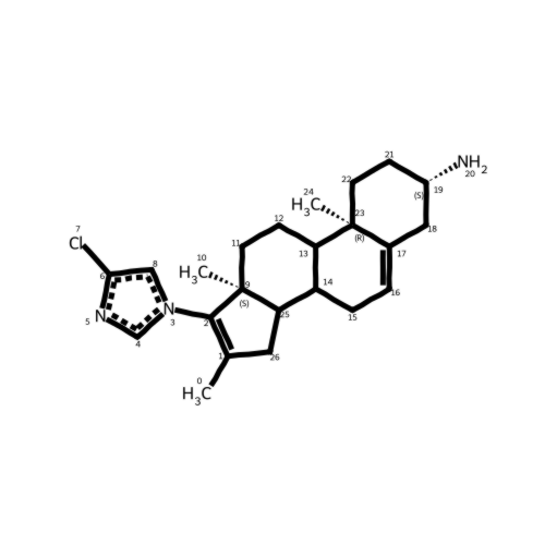 CC1=C(n2cnc(Cl)c2)[C@@]2(C)CCC3C(CC=C4C[C@@H](N)CC[C@@]43C)C2C1